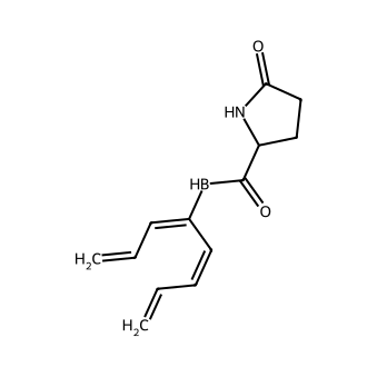 C=C/C=C\C(BC(=O)C1CCC(=O)N1)=C/C=C